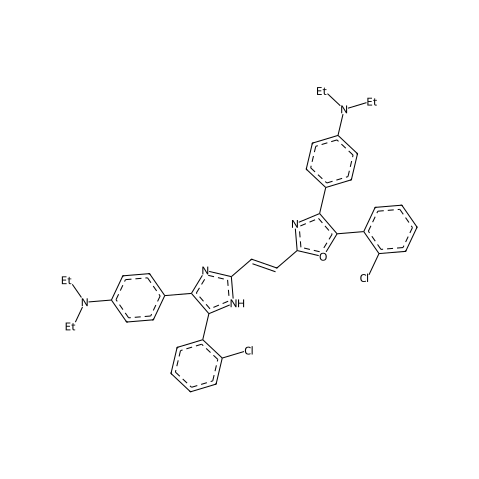 CCN(CC)c1ccc(-c2nc(/C=C/c3nc(-c4ccc(N(CC)CC)cc4)c(-c4ccccc4Cl)o3)[nH]c2-c2ccccc2Cl)cc1